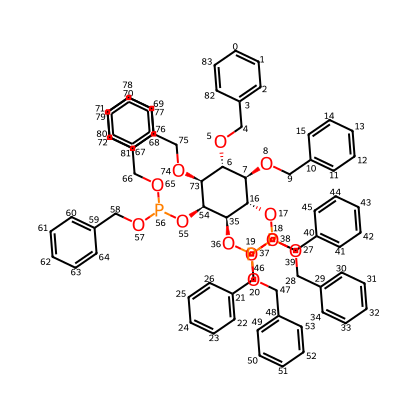 c1ccc(CO[C@@H]2[C@@H](OCc3ccccc3)[C@H](OP(OCc3ccccc3)OCc3ccccc3)[C@@H](OP(OCc3ccccc3)OCc3ccccc3)[C@@H](OP(OCc3ccccc3)OCc3ccccc3)[C@H]2OCc2ccccc2)cc1